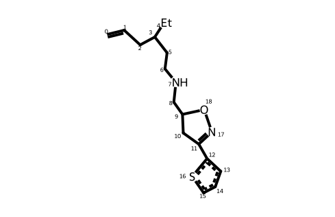 C=CCC(CC)CCNCC1CC(c2cccs2)=NO1